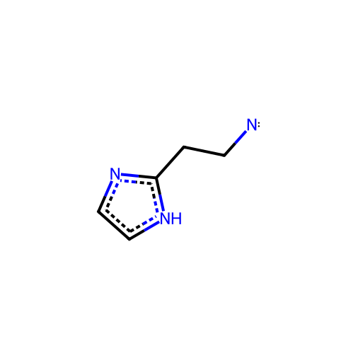 [N]CCc1ncc[nH]1